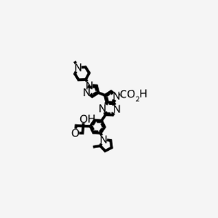 CC1CCCN1c1cc(-c2cnc3c(n2)c(-c2cnn(C4CCN(C)CC4)c2)cn3C(=O)O)cc(C2(O)COC2)c1